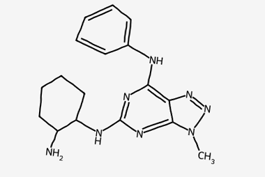 Cn1nnc2c(Nc3ccccc3)nc(NC3CCCCC3N)nc21